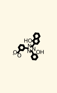 COC(=O)c1cccc(-c2nc(-c3ccccc3O)nc(-c3ccc4ccccc4c3O)n2)c1